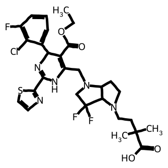 CCOC(=O)C1=C(CN2CC(F)(F)C3C2CCN3CCC(C)(C)C(=O)O)NC(c2nccs2)=NC1c1cccc(F)c1Cl